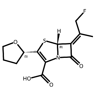 CC(CF)=C1C(=O)N2C(C(=O)O)=C([C@@H]3CCCO3)S[C@H]12